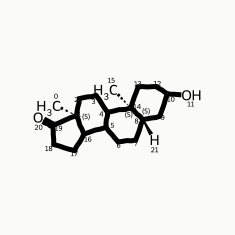 C[C@]12CCC3C(CC[C@H]4CC(O)CC[C@]34C)C1CCC2=O